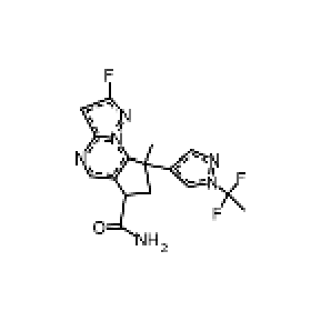 CC1(c2cnn(C(C)(F)F)c2)CC(C(N)=O)c2cnc3cc(F)nn3c21